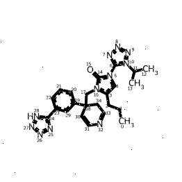 CCCc1cn(-c2nnnn2C(C)C)c(=O)n1CC1(c2cccc(-c3nnn[nH]3)c2)C=CN=CC1